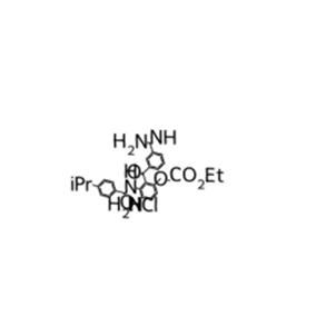 CCOC(=O)COc1ccc(N)c(NC(=O)c2ccc(C(C)C)cc2)c1C(=O)c1cccc(C(=N)N)c1.Cl